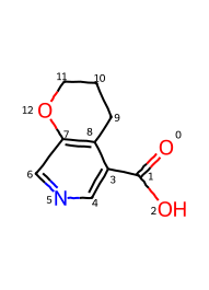 O=C(O)c1cncc2c1CCCO2